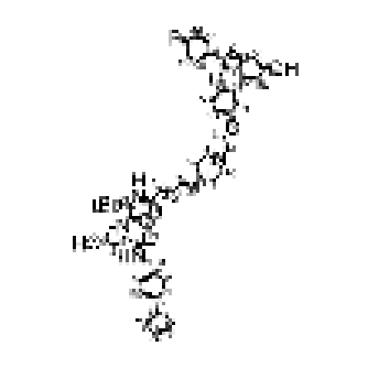 Cc1ncsc1-c1ccc(CNC(=O)[C@@H]2C[C@@H](O)CN2C(=O)[C@@H](NC(=O)COCCN2CCN(CCOc3ccc(Oc4c(-c5ccc(F)cc5)sc5cc(O)ccc45)cc3)CC2)C(C)(C)C)cc1